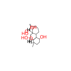 C=C1C(=O)C23C(CCC1[C@@H]2O)C12CO[C@]3(O)[C@@H](O)[C@@H]1C(C)(C)CC[C@@H]2O